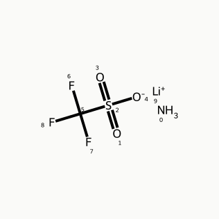 N.O=S(=O)([O-])C(F)(F)F.[Li+]